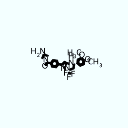 COc1ccc([C@@H]2C[C@H](C(F)(F)F)n3nc(-c4ccc(C(=O)N5CC(N)C5)cc4)cc3N2)cc1OC